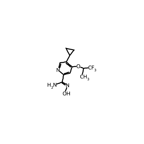 CC(Oc1cc(C(N)=NO)ncc1C1CC1)C(F)(F)F